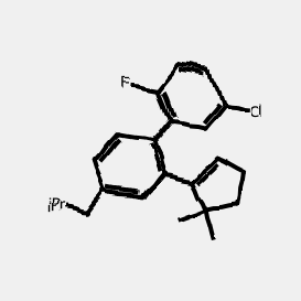 CC(C)Cc1ccc(-c2cc(Cl)ccc2F)c(C2=CCCC2(C)C)c1